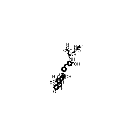 C[C@]12C=CC(=O)C=C1[C@@H](F)C[C@H]1[C@@H]3C[C@H]4O[C@@H](c5ccc(Cc6ccc(CO)c(NC[C@H](CCC(=O)O)NC(=O)CNC(=O)CBr)c6)cc5)O[C@@]4(C(=O)CO)[C@@]3(C)C[C@H](O)[C@@]12F